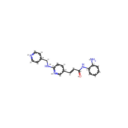 Nc1ccccc1NC(=O)C=Cc1ccc(NCc2ccncc2)nc1